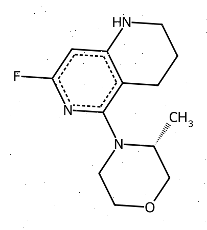 C[C@@H]1COCCN1c1nc(F)cc2c1CCCN2